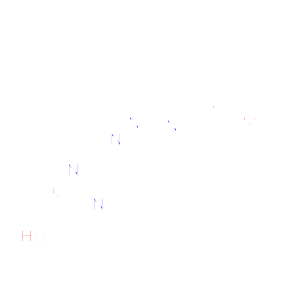 OCc1nc(-c2ccc(N3CCC4(COc5ccccc54)C3)nn2)no1